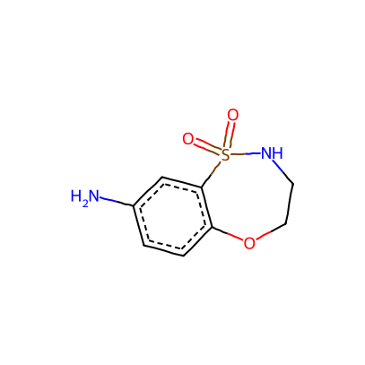 Nc1ccc2c(c1)S(=O)(=O)NCCO2